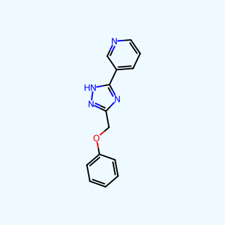 c1ccc(OCc2n[nH]c(-c3cccnc3)n2)cc1